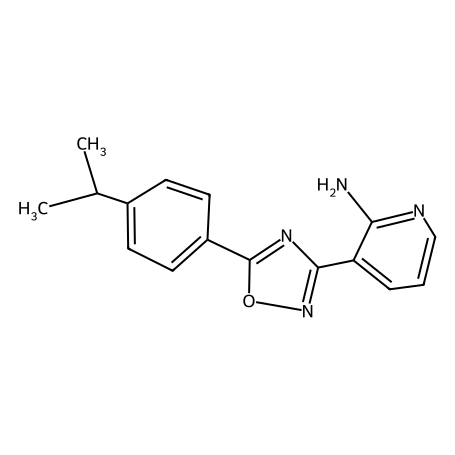 CC(C)c1ccc(-c2nc(-c3cccnc3N)no2)cc1